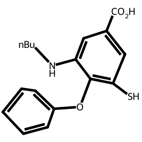 CCCCNc1cc(C(=O)O)cc(S)c1Oc1ccccc1